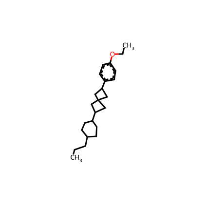 CCCC1CCC(C2CC3(CC(c4ccc(OCC)cc4)C3)C2)CC1